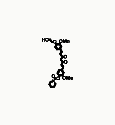 COc1cc(/C=C/C(=O)CC(=O)/C=C/c2ccc(OC(=O)N3CCCCC3)c(OC)c2)ccc1OCCO